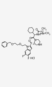 CN[C@@H](C)C(=O)NC(C(=O)N1CCNC[C@@H]1C(=O)c1cc2cc(F)c(F)cc2n1CCOCCOCc1ccccc1)C1CCCCC1.Cl